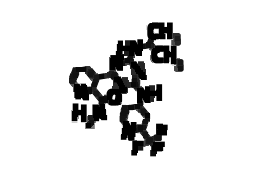 CC(C)Nc1nc(Nc2ccnc(C(F)(F)F)c2)nc(-c2cccnc2C(N)=O)n1